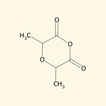 CC1OC(C)C(=O)OC1=O